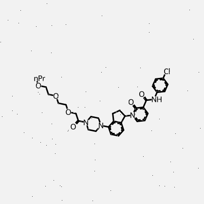 CCCOCCOCCOCC(=O)N1CCN(c2cccc3c2CCC3n2cccc(C(=O)Nc3ccc(Cl)cc3)c2=O)CC1